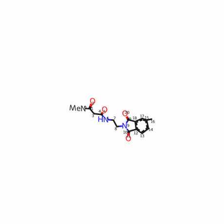 CNC(=O)CC(=O)NCCN1C(=O)c2ccc(C)cc2C1=O